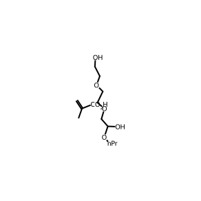 C=C(C)C(=O)O.CCCOC(O)COCCOCCO